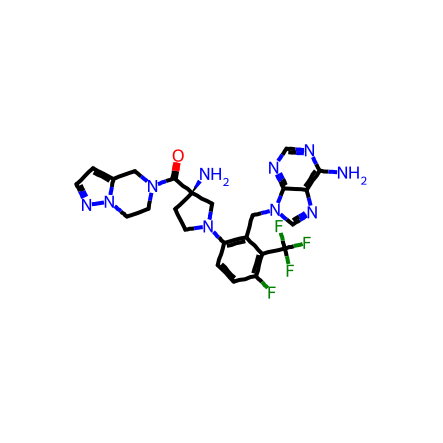 Nc1ncnc2c1ncn2Cc1c(N2CC[C@](N)(C(=O)N3CCn4nccc4C3)C2)ccc(F)c1C(F)(F)F